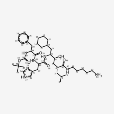 CC(C)C[C@H](C[C@H](O)[C@H](CC1CCCCC1)NC(=O)C(Cc1c[nH]cn1)NC(=O)C(Cc1ccccc1)NC(=O)OC(C)(C)C)C(=O)NCCCCCN